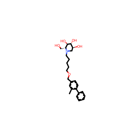 Cc1cc(COCCCCCN2C[C@H](O)[C@@H](O)[C@H](O)[C@H]2CO)ccc1-c1ccccc1